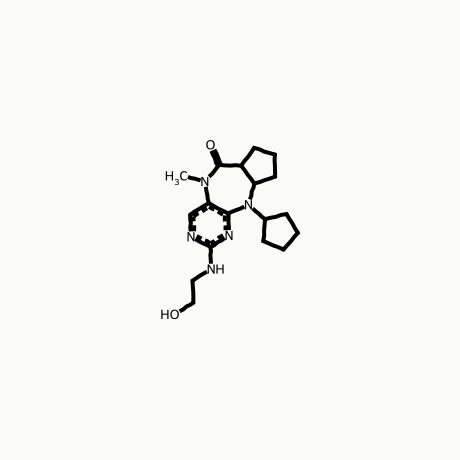 CN1C(=O)C2CCCC2N(C2CCCC2)c2nc(NCCO)ncc21